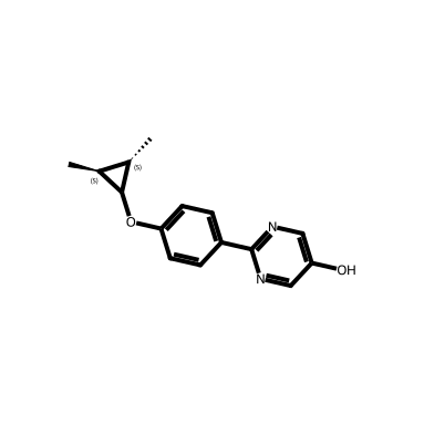 C[C@@H]1C(Oc2ccc(-c3ncc(O)cn3)cc2)[C@H]1C